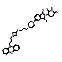 O=C1CCC(N2C(=O)c3ccc(N4CCN(CCCOC5CN(CCCB6c7ccccc7Sc7ccccc76)C5)CC4)cc3C2=O)C(=O)N1